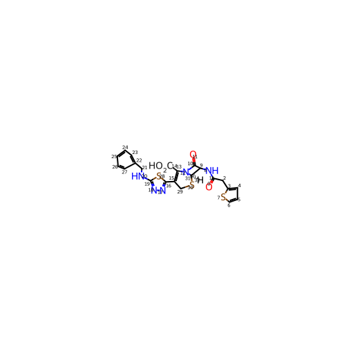 O=C(Cc1cccs1)NC1C(=O)N2C(C(=O)O)=C(c3nnc(NCc4ccccc4)s3)CS[C@H]12